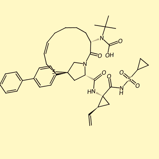 C=C[C@@H]1C[C@]1(NC(=O)[C@@H]1C[C@@]2(c3ccc(-c4ccccc4)cc3)CN1C(=O)[C@@H](N(C(=O)O)C(C)(C)C)CCCC/C=C\CS2)C(=O)NS(=O)(=O)C1CC1